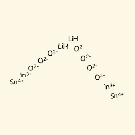 [In+3].[In+3].[LiH].[LiH].[O-2].[O-2].[O-2].[O-2].[O-2].[O-2].[O-2].[Sn+4].[Sn+4]